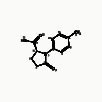 Cc1ccc(N2C(=O)CC[C@H]2C(=O)O)nc1